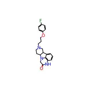 O=C1CN2c3c(cccc3C3CN(CCCOc4ccc(F)cc4)CCC32)N1